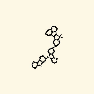 CC1(C)C2=C(c3cc(-c4ccc5c(c4)c4ccccc4n5-c4ccc5c(c4)sc4ccccc45)ccc31)c1cccc3cccc2c13